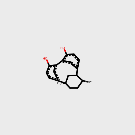 CC(C)C1CCC2(C)CC1c1ccc(O)c(c1)-c1cc2ccc1O